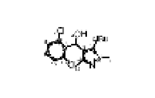 CCC(C)c1c(C(O)c2c(Cl)cccc2Cl)c(C)nn1C